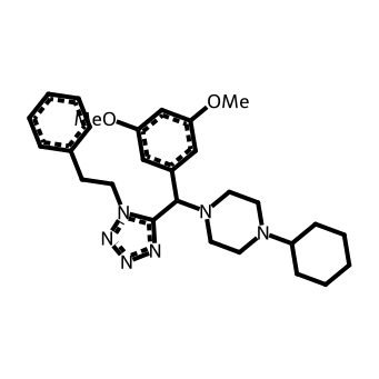 COc1cc(OC)cc(C(c2nnnn2CCc2ccccc2)N2CCN(C3CCCCC3)CC2)c1